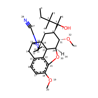 CCC(C)(C)C(C)(O)[C@@H]1C[C@@]2(CC)C3Cc4ccc(OC)c5c4[C@]2(CCN3C#N)[C@H](O5)[C@H]1OC